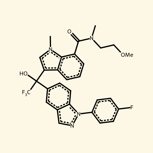 COCCN(C)C(=O)c1cccc2c(C(O)(c3ccc4c(cnn4-c4ccc(F)cc4)c3)C(F)(F)F)cn(C)c12